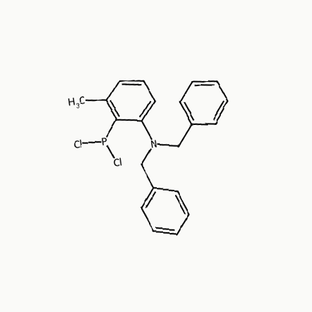 Cc1cccc(N(Cc2ccccc2)Cc2ccccc2)c1P(Cl)Cl